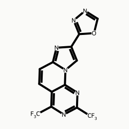 FC(F)(F)c1nc(C(F)(F)F)c2ccc3nc(-c4nnco4)cn3c2n1